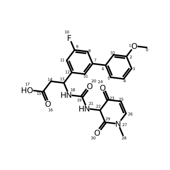 COc1cccc(-c2cc(F)cc(C(CC(=O)O)NC(=O)NC3C(=O)C=CN(C)C3=O)c2)c1